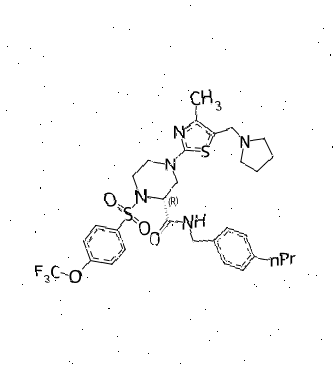 CCCc1ccc(CNC(=O)[C@H]2CN(c3nc(C)c(CN4CCCC4)s3)CCN2S(=O)(=O)c2ccc(OC(F)(F)F)cc2)cc1